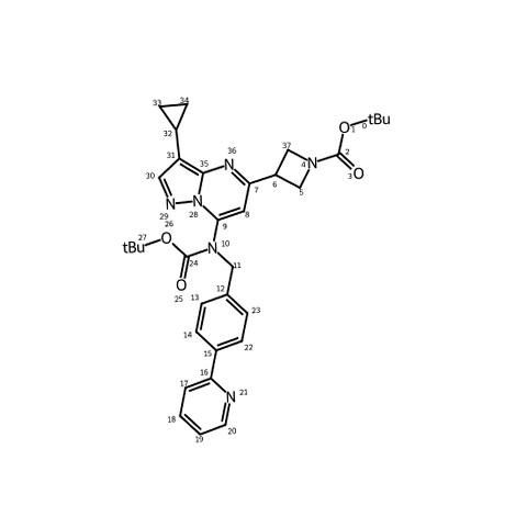 CC(C)(C)OC(=O)N1CC(c2cc(N(Cc3ccc(-c4ccccn4)cc3)C(=O)OC(C)(C)C)n3ncc(C4CC4)c3n2)C1